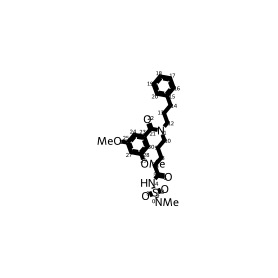 CNS(=O)(=O)NC(=O)CCCCN(CCCc1ccccc1)C(=O)c1cc(OC)cc(OC)c1